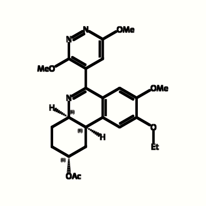 CCOc1cc2c(cc1OC)C(c1cc(OC)nnc1OC)=N[C@@H]1CC[C@@H](OC(C)=O)C[C@H]21